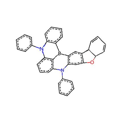 C1=CC2Oc3cc4c(cc3C2C=C1)B1c2ccccc2N(c2ccccc2)c2cccc(c21)N4c1ccccc1